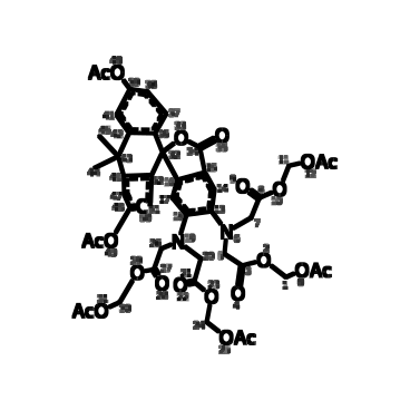 CC(=O)OCOC(=O)CN(CC(=O)OCOC(C)=O)c1cc2c(cc1N(CC(=O)OCOC(C)=O)CC(=O)OCOC(C)=O)C1(OC2=O)c2ccc(OC(C)=O)cc2C(C)(C)c2cc(OC(C)=O)ccc21